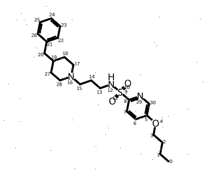 CCCCOc1ccc(S(=O)(=O)NCCCN2CCC(Cc3ccccc3)CC2)nc1